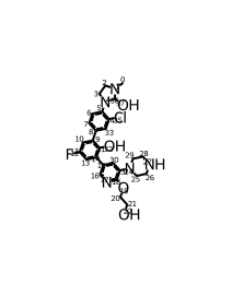 CN1CCN(c2ccc(-c3cc(F)cc(-c4cnc(OCCO)c(N5CCNCC5)c4)c3O)cc2Cl)C1O